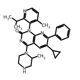 Cc1ccnc(C(C)C)c1-n1c(=O)nc(N2CCNCC2C)c2cc(C3CC3)c(-c3ccccc3)nc21